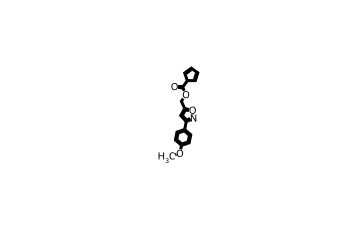 COc1ccc(-c2cc(COC(=O)C3C=CC=C3)on2)cc1